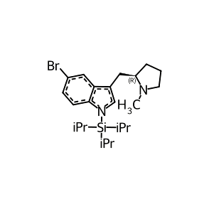 CC(C)[Si](C(C)C)(C(C)C)n1cc(C[C@H]2CCCN2C)c2cc(Br)ccc21